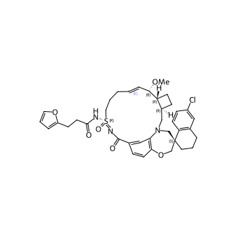 CO[C@H]1/C=C/CCC[S@@](=O)(NC(=O)CCc2ccco2)=NC(=O)c2ccc3c(c2)N(C[C@@H]2CC[C@H]21)C[C@@]1(CCCc2cc(Cl)ccc21)CO3